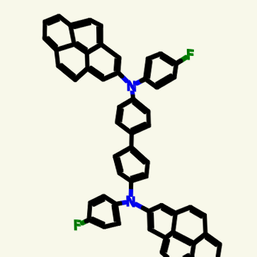 Fc1ccc(N(c2ccc(-c3ccc(N(c4ccc(F)cc4)c4cc5ccc6cccc7ccc(c4)c5c67)cc3)cc2)c2cc3ccc4cccc5ccc(c2)c3c45)cc1